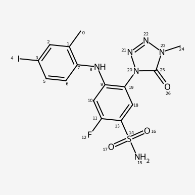 Cc1cc(I)ccc1Nc1cc(F)c(S(N)(=O)=O)cc1-n1nnn(C)c1=O